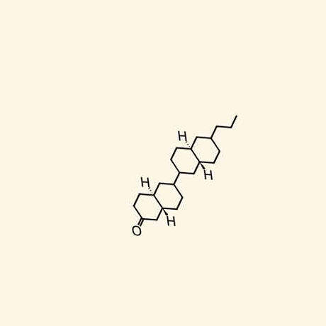 CCCC1CC[C@@H]2CC(C3CC[C@@H]4CC(=O)CC[C@H]4C3)CC[C@H]2C1